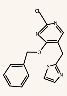 Clc1ncc(Cc2nccs2)c(OCc2ccccc2)n1